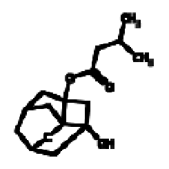 CC(C)CC(=O)OC12CC3CC4CC(O)(C1)C2(C4)C3